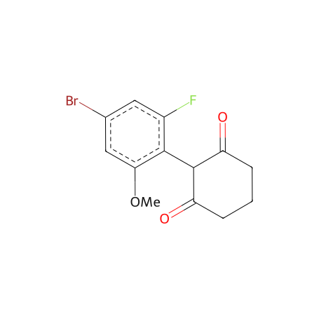 COc1cc(Br)cc(F)c1C1C(=O)CCCC1=O